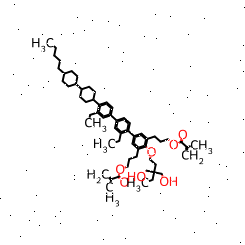 C=C(C)C(=O)OCCCc1cc(-c2ccc(-c3ccc(C4CCC(C5CCC(CCCCC)CC5)CC4)c(CC)c3)cc2CC)cc(CCCOC(=O)C(=C)C)c1OCCC(CC)(CO)CO